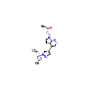 [C-]#[N+]C[C@]1(n2cc(-c3cnnc4c3ccn4COC(=O)C(C)(C)C)cn2)C[C@H]([N+]#[C-])C1